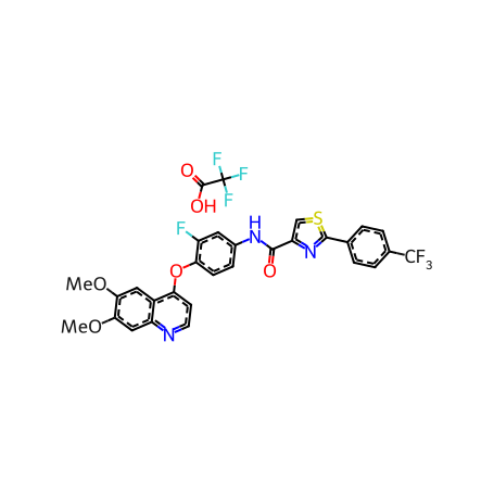 COc1cc2nccc(Oc3ccc(NC(=O)c4csc(-c5ccc(C(F)(F)F)cc5)n4)cc3F)c2cc1OC.O=C(O)C(F)(F)F